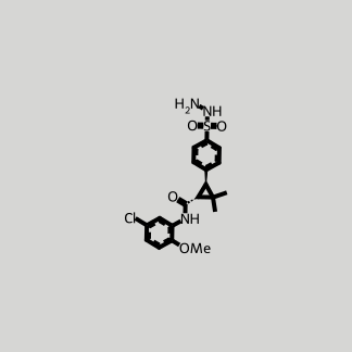 COc1ccc(Cl)cc1NC(=O)[C@@H]1[C@@H](c2ccc(S(=O)(=O)NN)cc2)C1(C)C